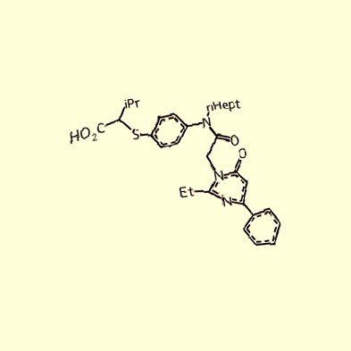 CCCCCCCN(C(=O)Cn1c(CC)nc(-c2ccccc2)cc1=O)c1ccc(SC(C(=O)O)C(C)C)cc1